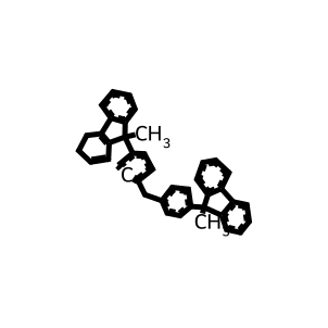 CC1(c2ccc(Cc3ccc(C4(C)c5ccccc5-c5ccccc54)cc3)cc2)C2=C(CCC=C2)c2ccccc21